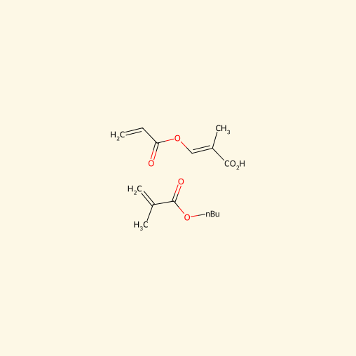 C=C(C)C(=O)OCCCC.C=CC(=O)OC=C(C)C(=O)O